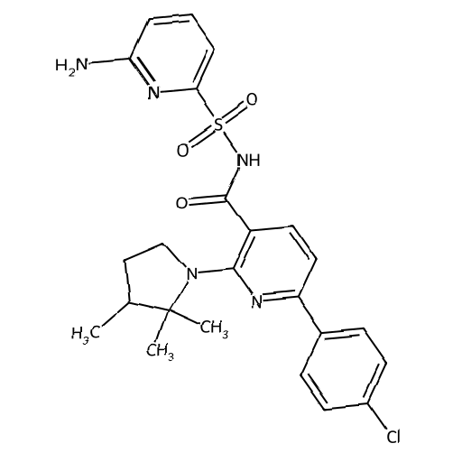 CC1CCN(c2nc(-c3ccc(Cl)cc3)ccc2C(=O)NS(=O)(=O)c2cccc(N)n2)C1(C)C